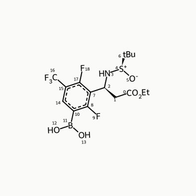 CCOC(=O)C[C@H](N[S@+]([O-])C(C)(C)C)c1c(F)c(B(O)O)cc(C(F)(F)F)c1F